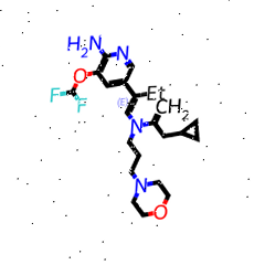 C=C(CC1CC1)N(/C=C(\CC)c1cnc(N)c(OC(F)F)c1)CCCN1CCOCC1